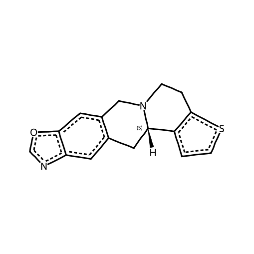 c1nc2cc3c(cc2o1)CN1CCc2sccc2[C@@H]1C3